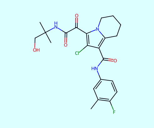 Cc1cc(NC(=O)c2c(Cl)c(C(=O)C(=O)NC(C)(C)CO)n3c2CCCC3)ccc1F